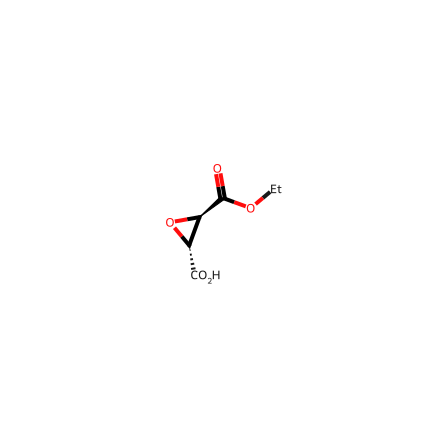 CCOC(=O)[C@@H]1O[C@H]1C(=O)O